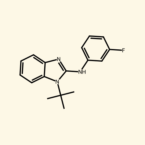 CC(C)(C)n1c(Nc2cccc(F)c2)nc2ccccc21